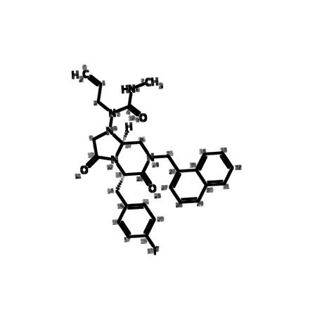 C=CCN(C(=O)NC)N1CC(=O)N2[C@@H](Cc3ccc(F)cc3)C(=O)N(Cc3cccc4ccccc34)C[C@@H]21